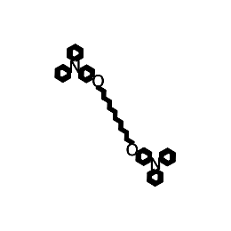 c1ccc(N(c2ccccc2)c2ccc(OCCCCCCCCCCCCOc3ccc(N(c4ccccc4)c4ccccc4)cc3)cc2)cc1